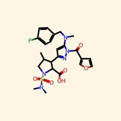 CC1CN(S(=O)(=O)N(C)C)C(C(=O)O)C1c1cc(N(C)Cc2ccc(F)cc2)n(C(=O)c2ccoc2)n1